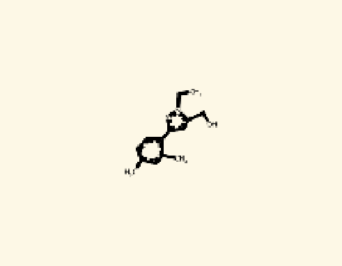 CCn1nc(-c2ccc(C)cc2C)cc1CO